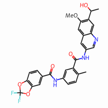 COc1cc2cc(NC(=O)c3cc(NC(=O)c4ccc5c(c4)OC(F)(F)O5)ccc3C)cnc2cc1C(C)O